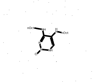 CCCCCCCCNC1=CNN(Cl)N=C1NCCCCCCCC